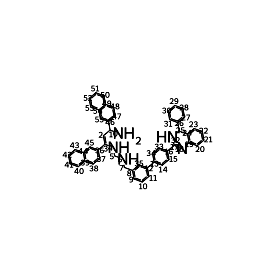 NC(/C=C(\NCNCc1cccc(-c2ccc(C3=Nc4ccccc4C(c4ccccc4)N3)cc2)c1)c1ccc2ccccc2c1)c1ccc2ccccc2c1